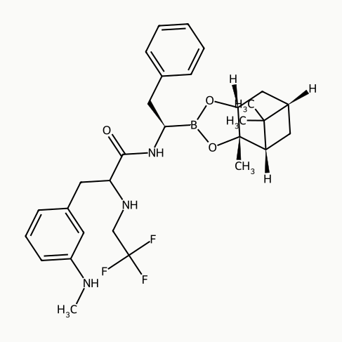 CNc1cccc(CC(NCC(F)(F)F)C(=O)N[C@@H](Cc2ccccc2)B2O[C@@H]3C[C@@H]4C[C@@H](C4(C)C)[C@]3(C)O2)c1